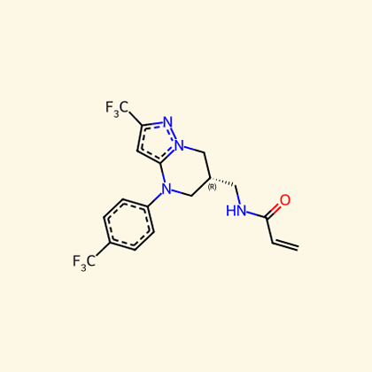 C=CC(=O)NC[C@@H]1CN(c2ccc(C(F)(F)F)cc2)c2cc(C(F)(F)F)nn2C1